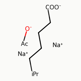 CC(=O)[O-].CC(C)CCCCC(=O)[O-].[Na+].[Na+]